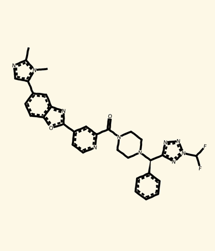 Cc1ncc(-c2ccc3oc(-c4ccnc(C(=O)N5CCN([C@H](c6ccccc6)c6nnn(C(F)F)n6)CC5)c4)nc3c2)n1C